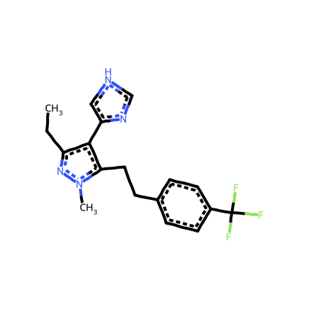 CCc1nn(C)c(CCc2ccc(C(F)(F)F)cc2)c1-c1c[nH]cn1